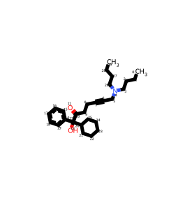 CCCCN(CC#CCCC(=O)C(O)(c1ccccc1)C1CCCCC1)CCCC